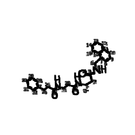 C[C@@H](CC(=O)NCc1cccc2ccccc12)NC(=O)CCNC(=O)CCc1ccccc1